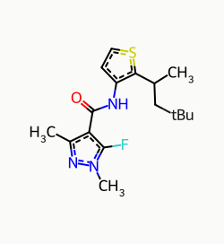 Cc1nn(C)c(F)c1C(=O)Nc1ccsc1C(C)CC(C)(C)C